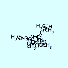 COCCOCOc1cc(-c2nc(S(C)(=O)=O)nc3c2c(C#N)cn3COCC[Si](C)(C)C)c(Cl)cc1OC